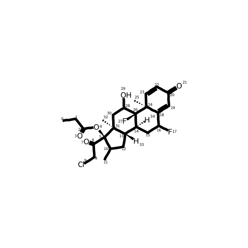 CCC(=O)O[C@]1(C(=O)CCl)C(C)C[C@H]2[C@@H]3CC(F)C4=CC(=O)C=C[C@]4(C)[C@@]3(F)C(O)C[C@@]21C